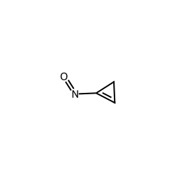 O=NC1=CC1